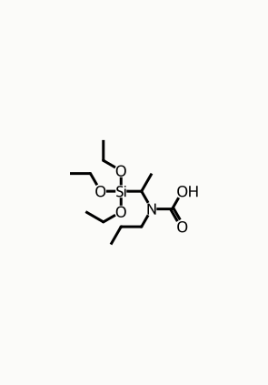 CCCN(C(=O)O)C(C)[Si](OCC)(OCC)OCC